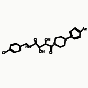 CC(=O)c1ccc(N2CCN(C(=O)C(O)[C@@H](O)C(=O)NCc3ccc(Cl)cc3)CC2)cc1